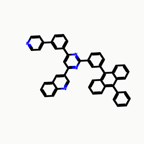 c1ccc(-c2c3ccccc3c(-c3cccc(-c4nc(-c5cccc(-c6ccncc6)c5)cc(-c5cnc6ccccc6c5)n4)c3)c3ccccc23)cc1